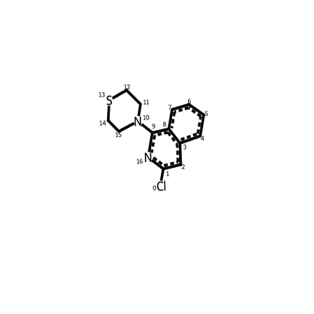 Clc1cc2ccccc2c(N2CCSCC2)n1